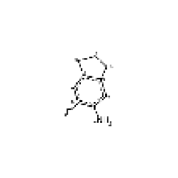 Nc1cc2c(cc1F)CCC2